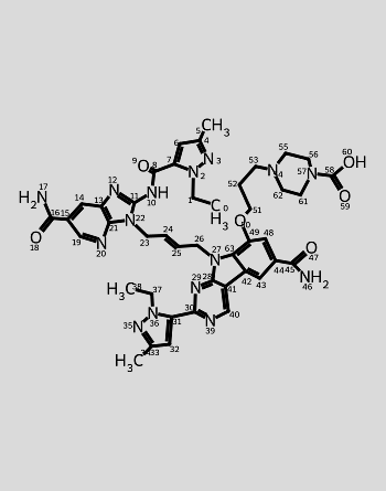 CCn1nc(C)cc1C(=O)Nc1nc2cc(C(N)=O)cnc2n1C/C=C/Cn1c2nc(-c3cc(C)nn3CC)ncc2c2cc(C(N)=O)cc(OCCCN3CCN(C(=O)O)CC3)c21